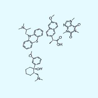 CC(CN1c2ccccc2Sc2ccccc21)N(C)C.COc1ccc2cc([C@H](C)C(=O)O)ccc2c1.COc1cccc([C@@]2(O)CCCC[C@@H]2CN(C)C)c1.Cn1c(=O)c2c(ncn2C)n(C)c1=O